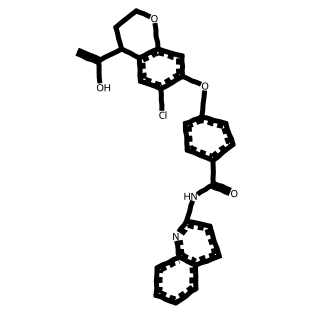 C=C(O)C1CCOc2cc(Oc3ccc(C(=O)Nc4ccc5ccccc5n4)cc3)c(Cl)cc21